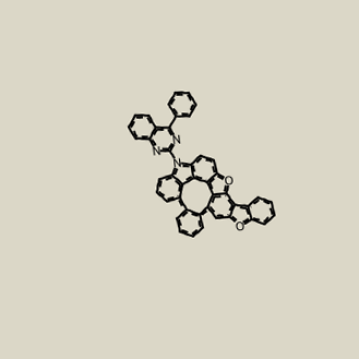 c1ccc(-c2nc(-n3c4cccc5c6ccccc6c6cc7oc8ccccc8c7c7oc8ccc3c(c8c67)c54)nc3ccccc23)cc1